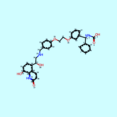 O=C(O)NC(c1ccccc1)c1cccc(OCCOc2ccc(CNC[C@@H](O)c3ccc(O)c4[nH]c(=O)ccc34)cc2)c1